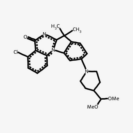 COC(OC)C1CCN(c2ccc3c(c2)-n2c(nc(=O)c4c(Cl)cccc42)C3(C)C)CC1